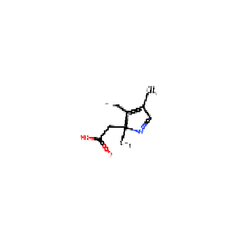 CC1=C(C)C(C)(CC(=O)O)N=C1